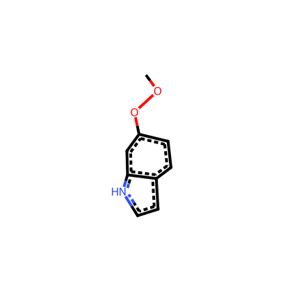 COOc1ccc2cc[nH]c2c1